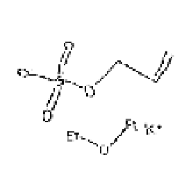 C=CCOS(=O)(=O)[O-].CCOCC.[K+]